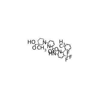 Cc1ccccc1-c1nc(NS(=O)(=O)c2cccc(N3CCC[C@@](C)(C(=O)O)C3)n2)ccc1C(F)(F)F